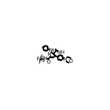 CC(=N)c1c(-c2ccc(N3CCOCC3)cc2)cc(C(=O)NSC(F)(F)F)nc1Nc1ccccc1